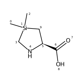 C[Si]1(C)CN[C@H](C(=O)O)C1